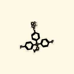 Fc1ccc([Si]([O][V+4])(c2ccc(F)cc2)c2ccc(F)cc2)cc1.[O-2].[O-2]